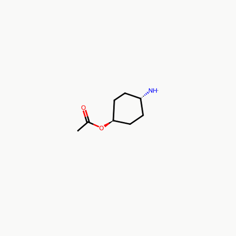 CC(=O)O[C@H]1CC[C@H]([NH])CC1